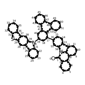 O=c1c2ccccc2c2cccc3c4ccc(-c5cc(-n6c7ccccc7c7cc8sc9ccccc9c8cc76)cc6c7ccccc7c7ccccc7c56)cc4n1c23